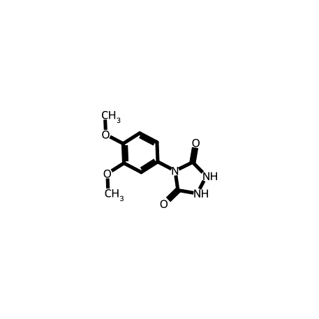 COc1ccc(-n2c(=O)[nH][nH]c2=O)cc1OC